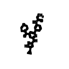 C=CC(=O)Nc1cccc(-c2cc(C(=O)N3CCOCC3)cc(Nc3cc(C4CC4)[nH]n3)n2)c1